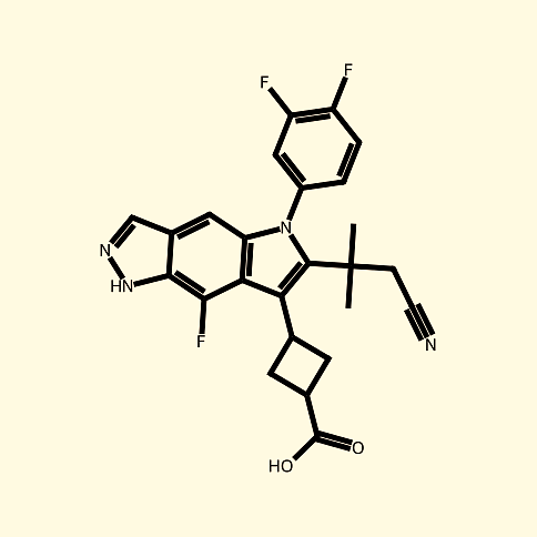 CC(C)(CC#N)c1c(C2CC(C(=O)O)C2)c2c(F)c3[nH]ncc3cc2n1-c1ccc(F)c(F)c1